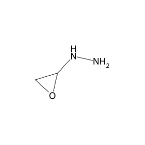 NNC1CO1